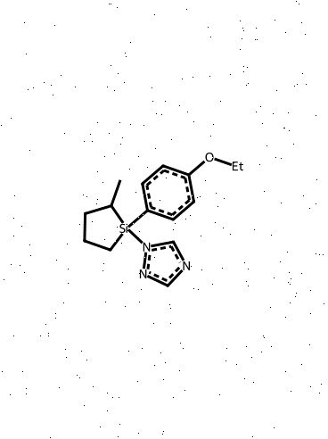 CCOc1ccc([Si]2(n3cncn3)CCCC2C)cc1